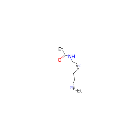 CC/C=C\CC/C=C\CNC(=O)CC